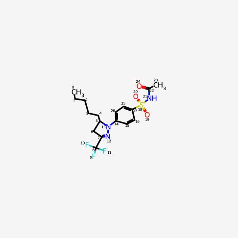 CCCCCC1CC(C(F)(F)F)=NN1c1ccc(S(=O)(=O)NC(C)=O)cc1